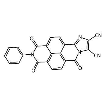 N#Cc1nc2c3ccc4c5c(ccc(c(=O)n2c1C#N)c53)C(=O)N(c1ccccc1)C4=O